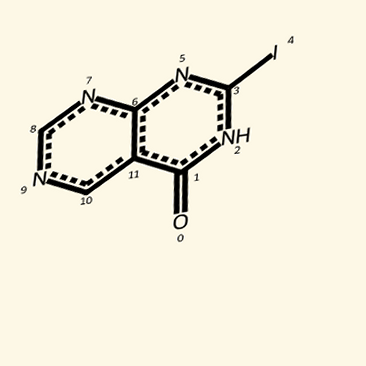 O=c1[nH]c(I)nc2ncncc12